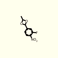 CC1OC(c2ccc([N+](=O)[O-])c(F)c2)O1